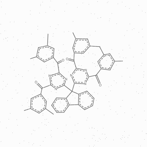 Cc1cc(C)cc(C(=O)c2nc(C(=O)c3cc(C)cc(C)c3)nc(C3(c4nc(C(=O)c5cc(C)cc(C)c5)nc(C(=O)c5cc(C)cc(C)c5)n4)c4ccccc4-c4ccccc43)n2)c1